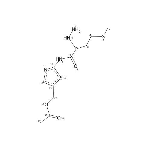 CSCCC(NN)C(=O)Nc1ncc(COC(C)=O)s1